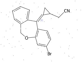 N#CCC1C/C1=C1\c2ccccc2COc2cc(Br)ccc21